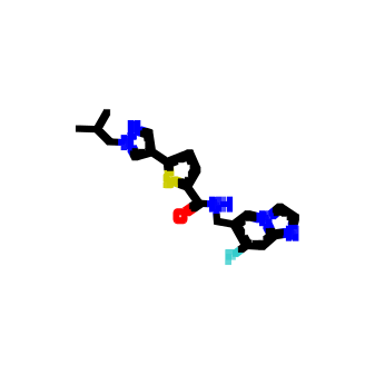 CC(C)Cn1cc(-c2ccc(C(=O)NCc3cn4ccnc4cc3F)s2)cn1